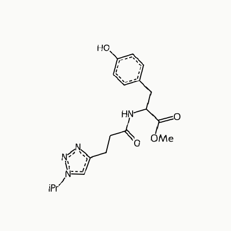 COC(=O)C(Cc1ccc(O)cc1)NC(=O)CCc1cn(C(C)C)nn1